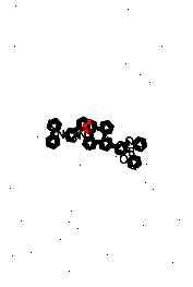 c1ccc2c(c1)Oc1cc(-c3ccc4c(c3)-c3ccccc3-c3ccccc3-c3c-4cccc3-n3c4ccccc4c4cc(-n5c6ccccc6c6ccccc65)ccc43)cc3c1B2c1ccccc1O3